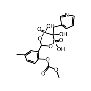 COC(=O)Oc1ccc(C)cc1C1OP(=O)(O)C(O)(Cc2cccnc2)P(=O)(O)O1